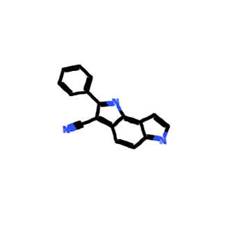 N#CC1=c2ccc3c(c2N=C1c1ccccc1)C=CN=3